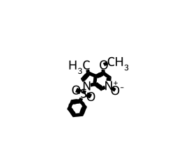 COc1c[n+]([O-])cc2c1c(C)cn2S(=O)(=O)c1ccccc1